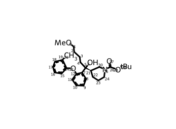 COCCCCC(O)(c1ccccc1Oc1ccccc1C)[C@@H]1CCCN(C(=O)OC(C)(C)C)C1